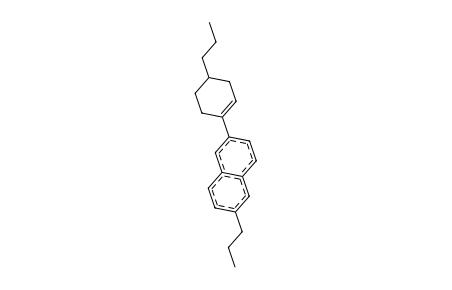 CCCc1ccc2cc(C3=CCC(CCC)CC3)ccc2c1